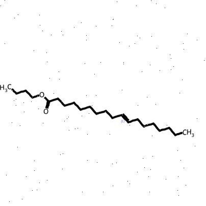 CCCCCCC/C=C/CCCCCCCCC(=O)OCCCC